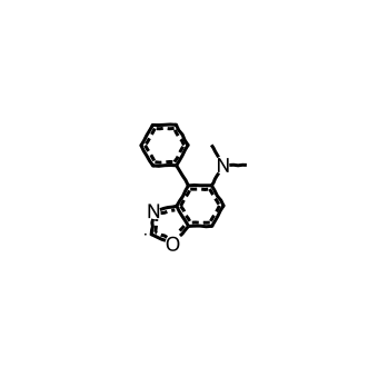 CN(C)c1ccc2o[c]nc2c1-c1ccccc1